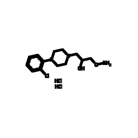 Cl.Cl.NOCC(O)CN1CCN(c2ccccc2Cl)CC1